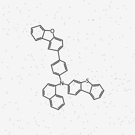 c1ccc2c(N(c3ccc(-c4ccc5oc6ccccc6c5c4)cc3)c3ccc4c(c3)sc3ccccc34)cccc2c1